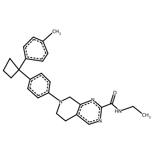 CCNC(=O)c1ncc2c(n1)CN(c1ccc(C3(c4ccc(C)cc4)CCC3)cc1)CC2